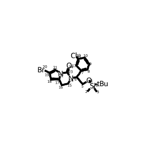 CC(C)(C)[Si](C)(C)OCC(c1cccc(Cl)c1)N1CCc2cc(Br)cn2C1=O